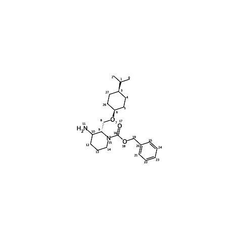 CC(C)[C@H]1CC[C@@H](OC[C@H]2C(N)CCCN2C(=O)OCc2ccccc2)CC1